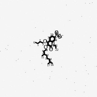 CCCCOc1c(OCC=C(C)CCC=C(C)C)c(=O)n(CC)c2cc([N+](=O)[O-])ccc12